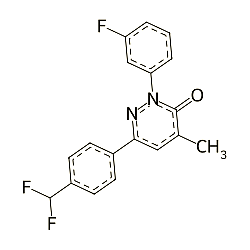 Cc1cc(-c2ccc(C(F)F)cc2)nn(-c2cccc(F)c2)c1=O